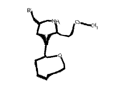 COCC1NC(Br)CC1C1CCCCO1